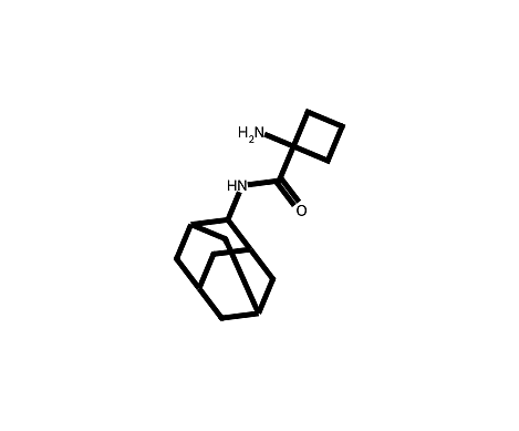 NC1(C(=O)NC2C3CC4CC(C3)CC2C4)CCC1